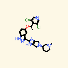 C[C@@H](Oc1ccc2[nH]nc(-c3nc4c([nH]3)CN(C3CCCN(C)C3)C4)c2c1)c1c(Cl)cncc1Cl